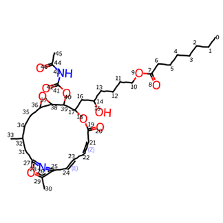 CCCCCCCC(=O)OCCCCC(O)CC1OC(=O)/C=C\C=C\c2nc(oc2C)CC(C)CCC2OC2C1OC(=O)NC(C)=O